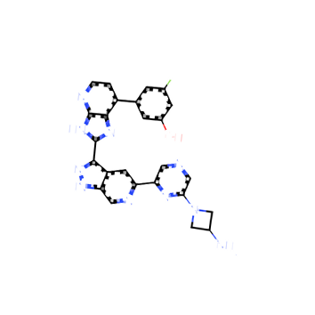 NC1CN(c2cncc(-c3cc4c(-c5nc6c(-c7cc(O)cc(F)c7)ccnc6[nH]5)n[nH]c4cn3)n2)C1